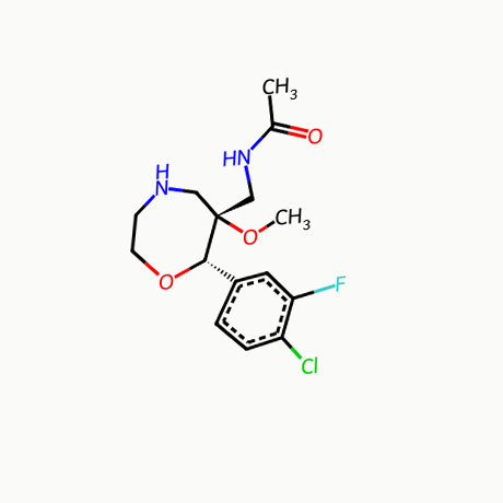 CO[C@@]1(CNC(C)=O)CNCCO[C@H]1c1ccc(Cl)c(F)c1